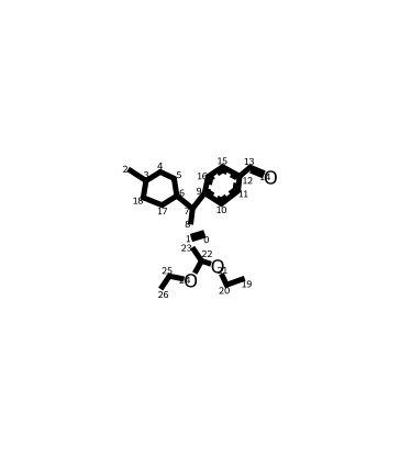 C=C.CC1CCC(C(C)c2ccc(C=O)cc2)CC1.CCOC(C)OCC